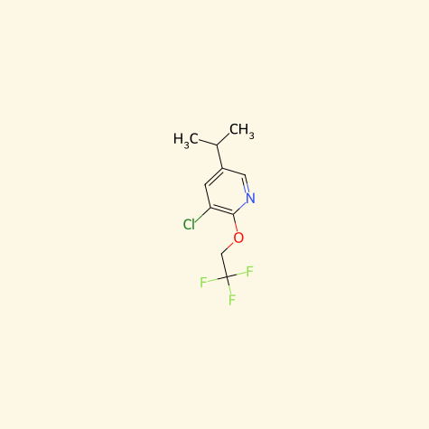 CC(C)c1cnc(OCC(F)(F)F)c(Cl)c1